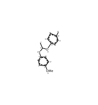 COc1ccc(SC(C)Oc2ccc(C)cc2)cc1